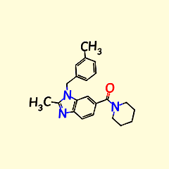 Cc1cccc(Cn2c(C)nc3ccc(C(=O)N4CCCCC4)cc32)c1